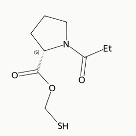 CCC(=O)N1CCC[C@H]1C(=O)OCS